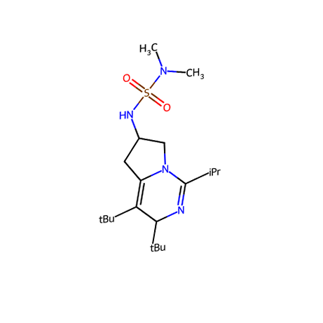 CC(C)C1=NC(C(C)(C)C)C(C(C)(C)C)=C2CC(NS(=O)(=O)N(C)C)CN12